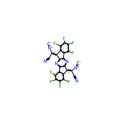 [C-]#[N+]/C(C#N)=C1\c2nc3c(nc2-c2c(F)c(F)c(F)c(F)c21)/C(=C(\C#N)[N+]#[C-])c1c(F)c(F)c(F)c(F)c1-3